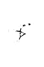 NC1CC1(N)N=C=O